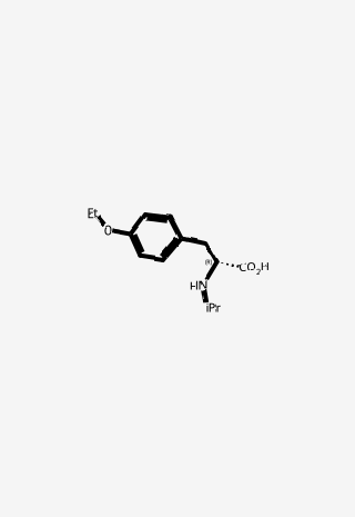 CCOc1ccc(C[C@@H](NC(C)C)C(=O)O)cc1